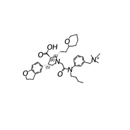 CCCCN(C(=O)CN1C[C@H](c2ccc3c(c2)CCO3)[C@@H](C(=O)O)[C@@H]1CCC1CCCCO1)c1cccc(C[N+](C)(C)C)c1